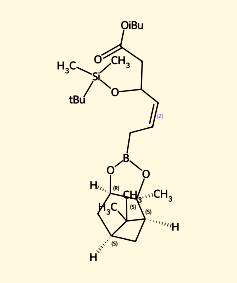 CC(C)COC(=O)CC(/C=C\CB1O[C@@H]2C[C@@H]3C[C@@H](C3(C)C)[C@]2(C)O1)O[Si](C)(C)C(C)(C)C